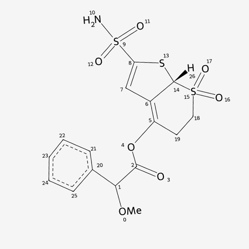 COC(C(=O)OC1=C2C=C(S(N)(=O)=O)S[C@@H]2S(=O)(=O)CC1)c1ccccc1